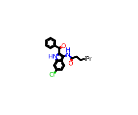 CC(C)CCC(=O)Nc1c(C(=O)c2ccccc2)[nH]c2cc(Cl)ccc12